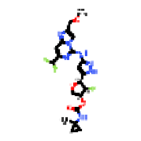 CC1(NC(=O)O[C@H]2CO[C@@H](c3cc(Nc4nc(C(F)F)cc5nc(COC(F)(F)F)cn45)n[nH]3)[C@H]2F)CC1